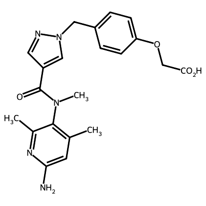 Cc1cc(N)nc(C)c1N(C)C(=O)c1cnn(Cc2ccc(OCC(=O)O)cc2)c1